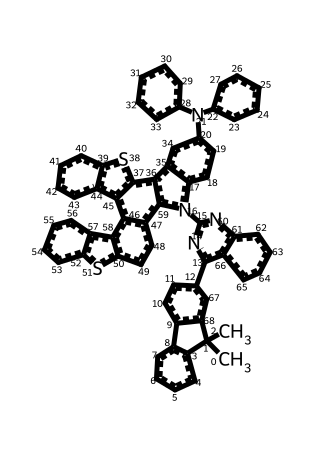 CC1(C)c2ccccc2-c2ccc(-c3nc(-n4c5ccc(N(c6ccccc6)c6ccccc6)cc5c5c6sc7ccccc7c6c6c(ccc7sc8ccccc8c76)c54)nc4ccccc34)cc21